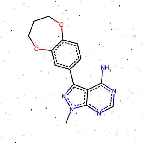 Cn1nc(-c2ccc3c(c2)OCCCO3)c2c(N)ncnc21